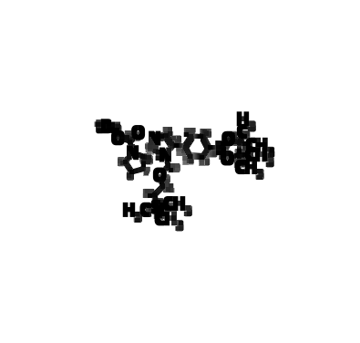 CC(C)(C)OC(=O)N1CCC[C@H]1c1ncc(-c2ccc(B3OC(C)(C)C(C)(C)O3)cc2)n1COCC[Si](C)(C)C